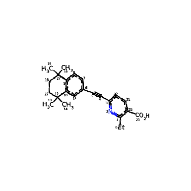 CCc1nc(C#Cc2ccc3c(c2)C(C)(C)CCC3(C)C)ccc1C(=O)O